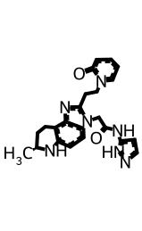 C[C@H]1CCc2c(ccc3c2nc(CCn2ccccc2=O)n3CC(=O)Nc2ccn[nH]2)N1